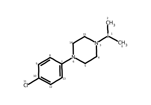 CI(C)N1CCN(c2ccc(Cl)cc2)CC1